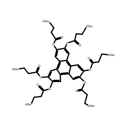 CCCCCCCCCCCCC(=O)Oc1cc2c3cc(OC(=O)CCCCCCCCCCCC)c(OC(=O)CCCCCCCCCCCC)cc3c3cc(OC(=O)CCCCCCCCCCCC)c(OC(=O)CCCCCCCCCCCC)cc3c2cc1OC(=O)CCCCCCCCCCCC